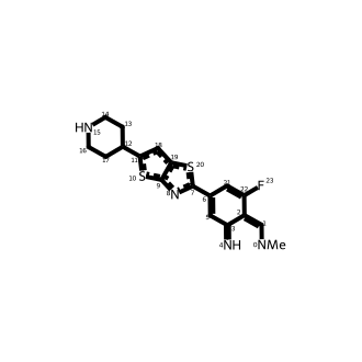 CN/C=C1\C(=N)C=C(c2nc3sc(C4CCNCC4)cc3s2)C=C1F